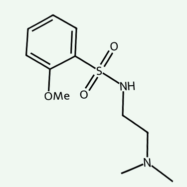 COc1ccccc1S(=O)(=O)NCCN(C)C